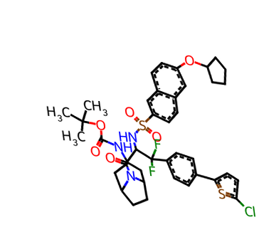 CC(C)(C)OC(=O)NC1CC2CCC(C1)N2C(=O)C(NS(=O)(=O)c1ccc2cc(OC3CCCC3)ccc2c1)C(F)(F)c1ccc(-c2ccc(Cl)s2)cc1